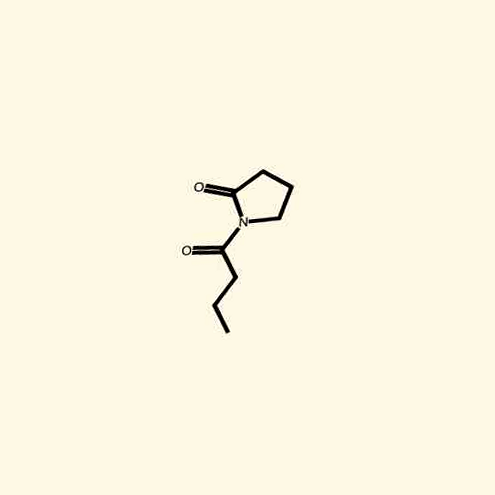 CCCC(=O)N1CCCC1=O